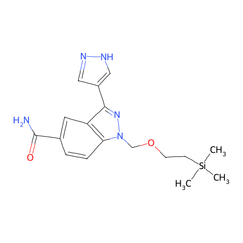 C[Si](C)(C)CCOCn1nc(-c2cn[nH]c2)c2cc(C(N)=O)ccc21